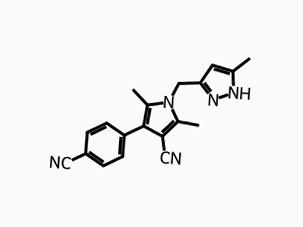 Cc1cc(Cn2c(C)c(C#N)c(-c3ccc(C#N)cc3)c2C)n[nH]1